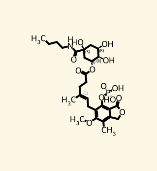 CCCCNC(=O)[C@]1(O)C[C@@H](O)[C@@H](O)[C@H](OC(=O)CC/C(C)=C/Cc2c(OC)c(C)c3c(c2OP(=O)(O)O)C(=O)OC3)C1